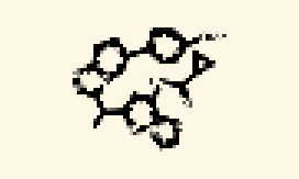 COc1ccc(-c2ccc3nnc(C(C)c4cc(NC(=O)C5CC5)c5nccn5n4)n3c2)cc1